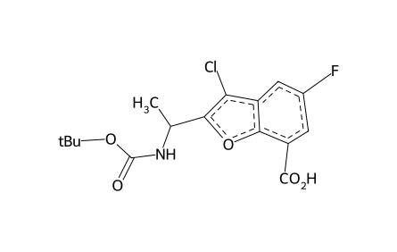 CC(NC(=O)OC(C)(C)C)c1oc2c(C(=O)O)cc(F)cc2c1Cl